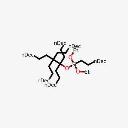 CCCCCCCCCCCCC(CCCCCCCCCCCC)(CCCCCCCCCCCC)C(CCCCCCCCCCCC)(CCCCCCCCCCCC)O[Si](CCCCCCCCCCCC)(OCC)OCC